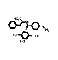 Cl.NC[C@H]1CC[C@H](C(=O)N[C@@H](Cc2ccccc2)C(=O)O)CC1.Nc1ccc(C(=O)O)cc1